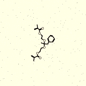 C=C(C)C(=O)OCCOC(C)(Cc1ccccc1)OCCOC(=O)C(=C)C